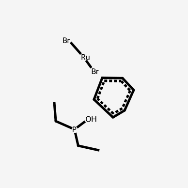 CCP(O)CC.[Br][Ru][Br].c1ccccc1